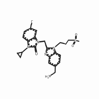 CS(=O)(=O)CCCn1c(Cn2c(=O)n(C3CC3)c3ccc(F)cc32)nc2cc(CN)ccc21